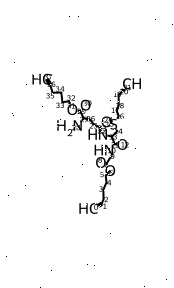 C#CCCCCOC(=O)CNC(=O)C(CSCCCCC#C)NC(=O)CCC(N)C(=O)OCCCCC#C